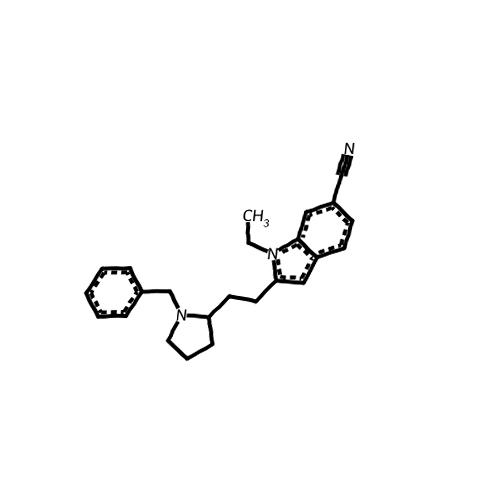 CCn1c(CCC2CCCN2Cc2ccccc2)cc2ccc(C#N)cc21